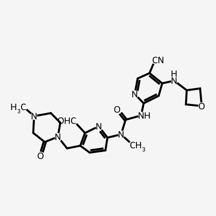 CN1CCN(Cc2ccc(N(C)C(=O)Nc3cc(NC4COC4)c(C#N)cn3)nc2C=O)C(=O)C1